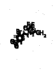 C=CCN(CCc1ccc([N+](=O)[O-])cc1Br)C(=O)C(F)(F)F